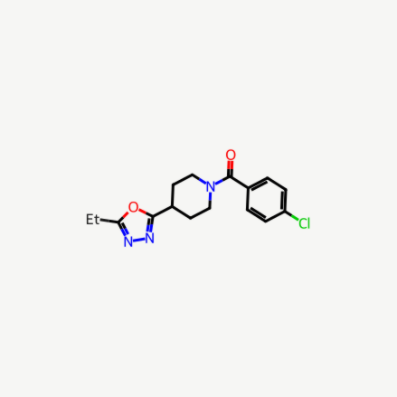 CCc1nnc(C2CCN(C(=O)c3ccc(Cl)cc3)CC2)o1